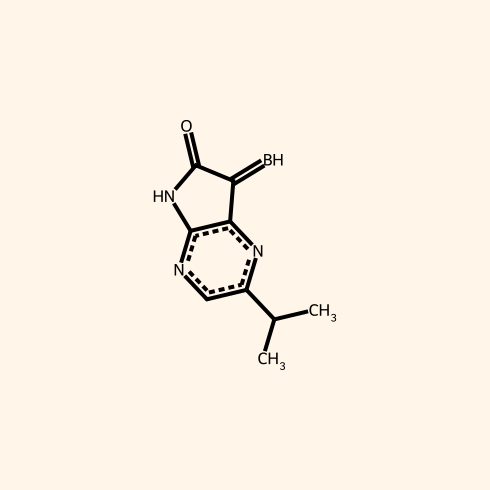 B=C1C(=O)Nc2ncc(C(C)C)nc21